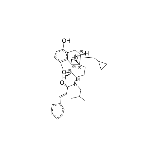 CC(C)CN(C(=O)C=Cc1ccccc1)[C@@H]1CC[C@H]2[C@H]3Cc4c(O)ccc5c4[C@@]2(CCN3CC2CC2)[C@H]1O5